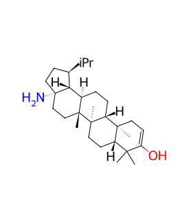 CC(C)[C@@H]1CC[C@]2(N)CC[C@]3(C)[C@H](CC[C@@H]4[C@@]5(C)CC=C(O)C(C)(C)[C@@H]5CC[C@]43C)[C@@H]12